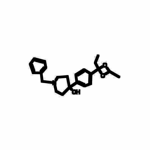 CCC1(c2ccc(C3(O)CCN(Cc4ccccc4)CC3)cc2)OC(C)O1